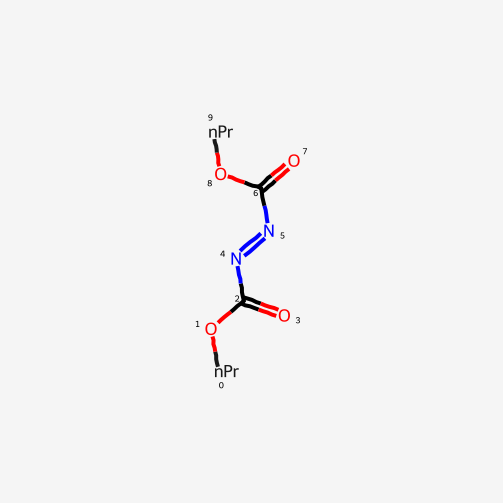 CCCOC(=O)N=NC(=O)OCCC